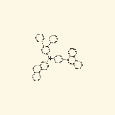 c1ccc(-c2ccc(N(c3ccc(-c4cc5ccccc5c5ccccc45)cc3)c3ccc4c(ccc5ccccc54)c3)cc2-c2ccccc2)cc1